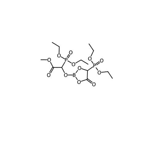 CCOP(=O)(OCC)C(OB1OC(=O)C(P(=O)(OCC)OCC)O1)C(=O)OC